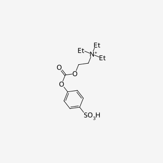 CC[N+](CC)(CC)CCOC(=O)Oc1ccc(S(=O)(=O)O)cc1